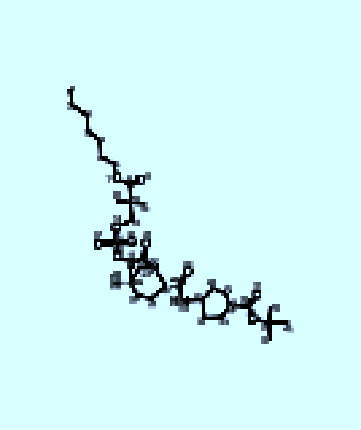 CCCCCCCOC(=O)C(C)(C)COS(=O)(=O)ON1C(=O)N2C[C@H]1CC[C@H]2C(=O)NC1CCN(C(=O)OC(C)(C)C)CC1